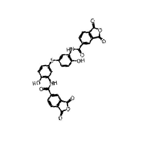 O=C(Nc1cc(Sc2ccc(O)c(NC(=O)c3ccc4c(c3)C(=O)OC4=O)c2)ccc1O)c1ccc2c(c1)C(=O)OC2=O